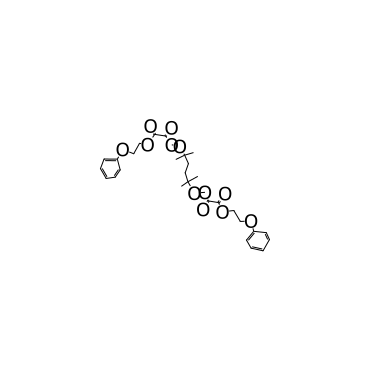 CC(C)(CCC(C)(C)OOC(=O)C(=O)OCCOc1ccccc1)OOC(=O)C(=O)OCCOc1ccccc1